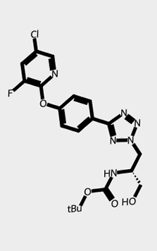 CC(C)(C)OC(=O)N[C@@H](CO)Cn1nnc(-c2ccc(Oc3ncc(Cl)cc3F)cc2)n1